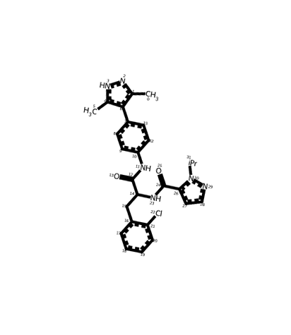 Cc1n[nH]c(C)c1-c1ccc(NC(=O)C(Cc2ccccc2Cl)NC(=O)c2ccnn2C(C)C)cc1